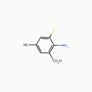 N#Cc1cc(F)c(N)c(C(=O)O)c1